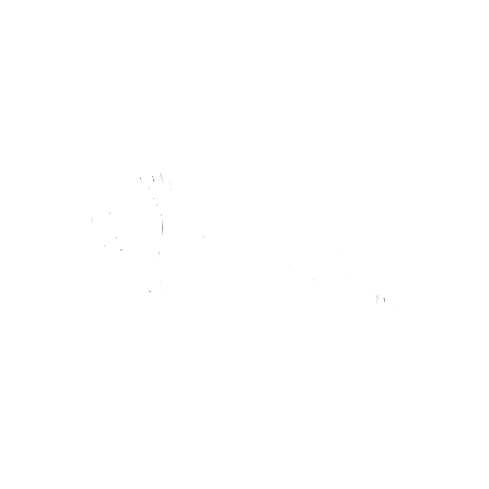 Cc1nc2c(Cl)cc(B3OC(C)(C)C(C)(C)O3)cc2o1